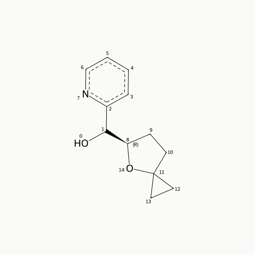 OC(c1ccccn1)[C@H]1CCC2(CC2)O1